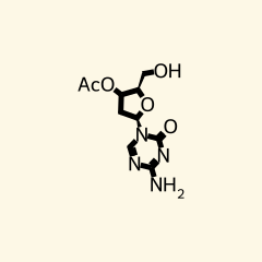 CC(=O)OC1C[C@H](n2cnc(N)nc2=O)O[C@@H]1CO